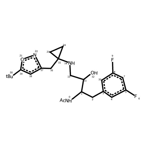 CC(=O)NC(Cc1cc(F)cc(F)c1)C(O)CNC1(Cc2cc(C(C)(C)C)on2)CC1